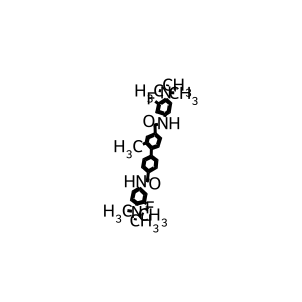 Cc1cc(C(=O)Nc2ccc([N+](C)(C)C)c(F)c2)ccc1-c1ccc(C(=O)Nc2ccc([N+](C)(C)C)c(F)c2)cc1